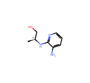 C[C@@H](CO)Nc1ncccc1N